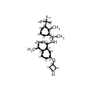 Cc1c([C@@H](C)Nc2nnc(C)c3ccc(OC4CNC4)cc23)cccc1C(F)(F)F